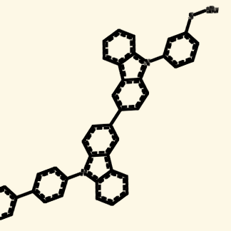 CC(C)(C)Sc1cccc(-n2c3ccccc3c3cc(-c4ccc5c(c4)c4ccccc4n5-c4ccc(-c5ccccc5)cc4)ccc32)c1